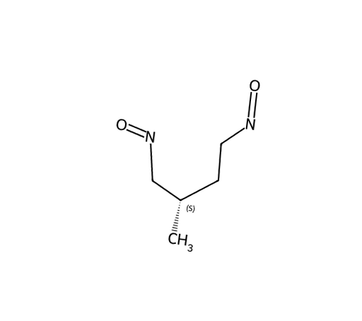 C[C@@H](CCN=O)CN=O